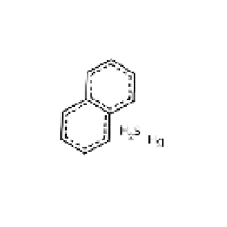 S.[Hg].c1ccc2ccccc2c1